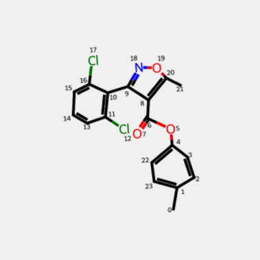 Cc1ccc(OC(=O)c2c(-c3c(Cl)cccc3Cl)noc2C)cc1